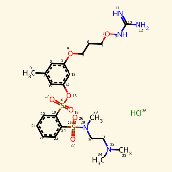 Cc1cc(OCCCONC(=N)N)cc(OS(=O)(=O)c2ccccc2S(=O)(=O)N(C)CCN(C)C)c1.Cl